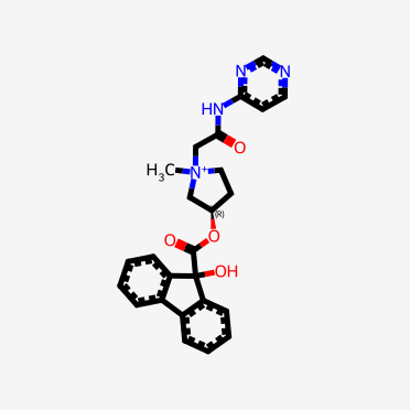 C[N+]1(CC(=O)Nc2ccncn2)CC[C@@H](OC(=O)C2(O)c3ccccc3-c3ccccc32)C1